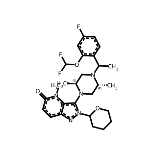 CC(c1ccc(F)cc1OC(F)F)N1C[C@H](C)N(c2c3c(ccc(=O)n3C)nn2C2CCCCO2)C[C@H]1C